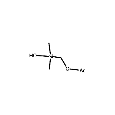 CC(=O)OC[Si](C)(C)O